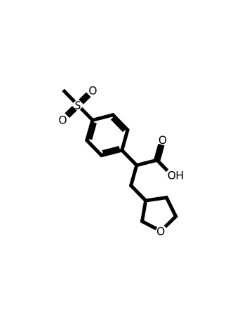 CS(=O)(=O)c1ccc(C(CC2CCOC2)C(=O)O)cc1